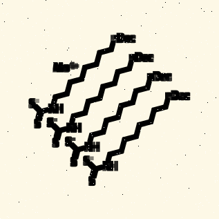 CCCCCCCCCCCCCCCCCCNC(=S)[S-].CCCCCCCCCCCCCCCCCCNC(=S)[S-].CCCCCCCCCCCCCCCCCCNC(=S)[S-].CCCCCCCCCCCCCCCCCCNC(=S)[S-].[Mo+4]